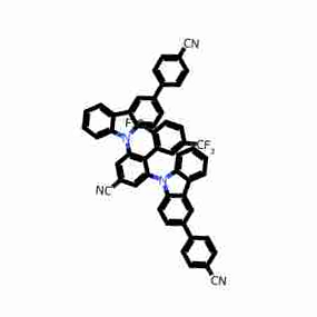 N#Cc1ccc(-c2ccc3c(c2)c2ccccc2n3-c2cc(C#N)cc(-n3c4ccccc4c4cc(-c5ccc(C#N)cc5)ccc43)c2-c2cc(C(F)(F)F)ccc2C(F)(F)F)cc1